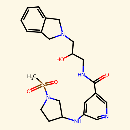 CS(=O)(=O)N1CCC(Nc2cncc(C(=O)NCC(O)CN3Cc4ccccc4C3)c2)C1